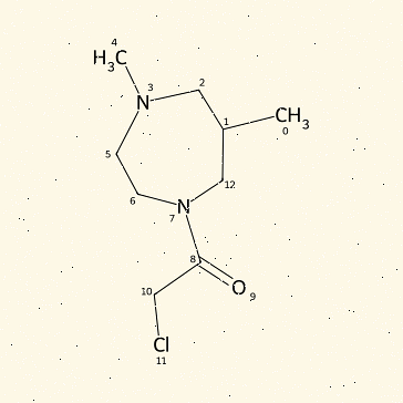 CC1CN(C)CCN(C(=O)CCl)C1